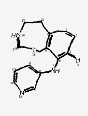 Clc1ccc2c(c1Nc1cccnc1)CCNCC2